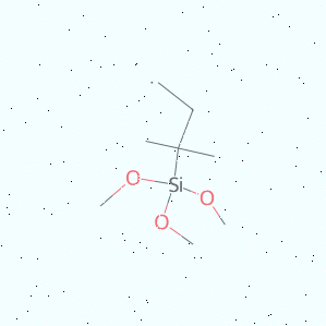 [CH2]CC(C)(C)[Si](OC)(OC)OC